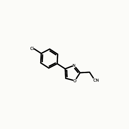 N#CCc1nc(-c2ccc(Cl)cc2)co1